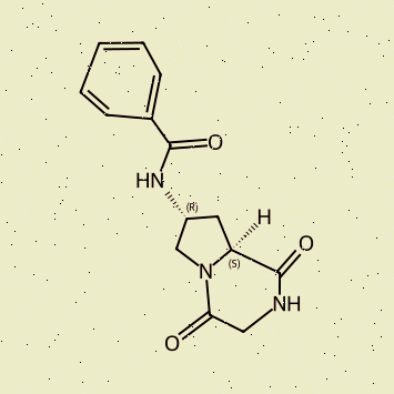 O=C(N[C@@H]1C[C@H]2C(=O)NCC(=O)N2C1)c1ccccc1